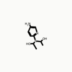 CC(O)N(c1ccc(N)cn1)C(C)O